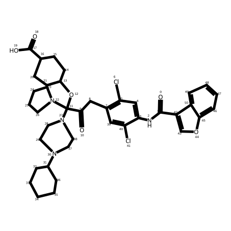 O=C(Nc1cc(Cl)c(CC(=O)C(OC2CCC(C(=O)O)CC2)(N2CCCC2)N2CCN(C3CCCCC3)CC2)cc1Cl)c1coc2ccccc12